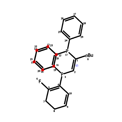 CCCC/C(=C/P(C1=C(F)CCC=C1)c1ccccc1)P(c1ccccc1)c1ccccc1